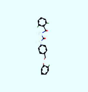 O=C(NC(=O)c1c(F)cccc1F)Nc1ccc(COc2ccccc2Cl)cc1